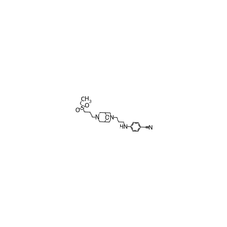 CCS(=O)(=O)CCCN1CC2CN(CCCNc3ccc(C#N)cc3)CC(C1)O2